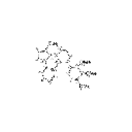 COc1ccc(-c2ccc3ncc4ncn(-c5ccccc5F)c4c3c2)c(OC)c1OC